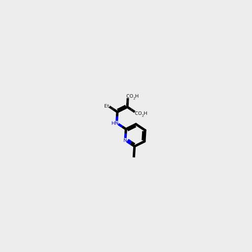 CCC(Nc1cccc(C)n1)=C(C(=O)O)C(=O)O